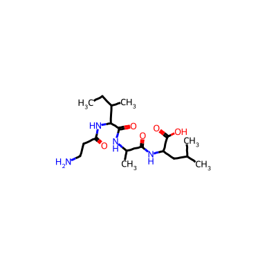 CCC(C)C(NC(=O)CCN)C(=O)NC(C)C(=O)NC(CC(C)C)C(=O)O